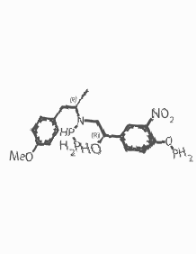 COc1ccc(C[C@@H](C)N(C[C@H](O)c2ccc(OP)c([N+](=O)[O-])c2)PP)cc1